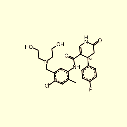 Cc1cc(Cl)c(CN(CCO)CCO)cc1NC(=O)C1=CNC(=O)C[C@H]1c1ccc(F)cc1